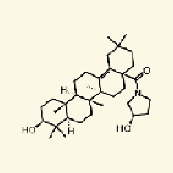 CC1(C)CC[C@]2(C(=O)N3CC[C@@H](O)C3)CC[C@]3(C)C(=C2C1)CC[C@@H]1[C@@]2(C)CC[C@H](O)C(C)(C)[C@@H]2CC[C@]13C